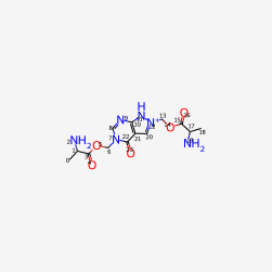 CC(N)C(=O)OCn1cnc2[nH][n+](COC(=O)C(C)N)cc2c1=O